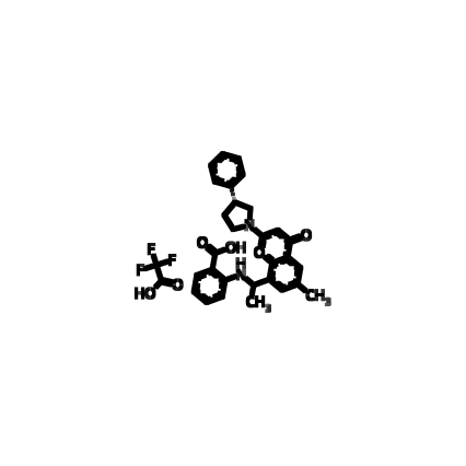 Cc1cc(C(C)Nc2ccccc2C(=O)O)c2oc(N3CC[C@H](c4ccccc4)C3)cc(=O)c2c1.O=C(O)C(F)(F)F